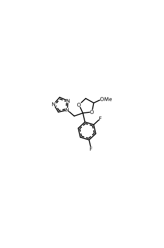 COC1COC(Cn2cncn2)(c2ccc(F)cc2F)O1